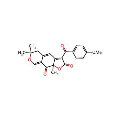 COc1ccc(C(=O)C2=C3C=C4CC(C)(C)OC=C4C(=O)C3(C)OC2=O)cc1